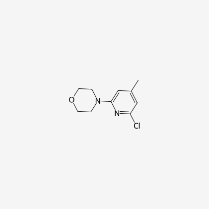 Cc1cc(Cl)nc(N2CCOCC2)c1